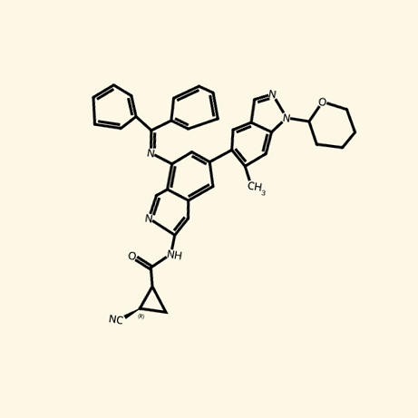 Cc1cc2c(cnn2C2CCCCO2)cc1-c1cc(N=C(c2ccccc2)c2ccccc2)c2cnc(NC(=O)C3C[C@H]3C#N)cc2c1